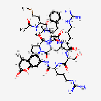 CSCC[C@H](NC(C)=O)C(=O)N[C@@H](Cc1ccccc1)C(=O)N[C@@H](CC(C)C)C(=O)N1CCC[C@H]1C(=O)N[C@@H](CC(C)C)C(=O)N[C@@H](CCCNC(=N)N)C(=O)N[C@@H](CO)C(=O)N[C@@H](CCCNC(=N)N)C(=O)Nc1ccc2c(C)cc(=O)oc2c1